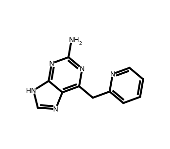 Nc1nc(Cc2ccccn2)c2nc[nH]c2n1